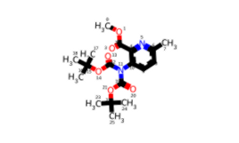 COC(=O)c1nc(C)ccc1N(C(=O)OC(C)(C)C)C(=O)OC(C)(C)C